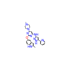 Cc1cc2cc(Oc3nc(Nc4cc(-c5ccccn5)[nH]n4)cc(N4CCN(C)CC4)n3)ccc2[nH]1